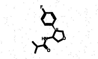 CC(C)C(=O)NC1COC[C@H]1c1ccc(F)cc1